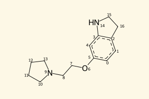 c1cc2c(cc1OCCN1CCCC1)NCC2